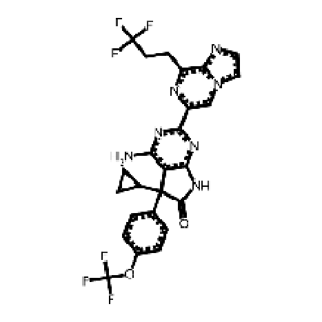 Nc1nc(-c2cn3ccnc3c(CCC(F)(F)F)n2)nc2c1C(c1ccc(OC(F)(F)F)cc1)(C1CC1)C(=O)N2